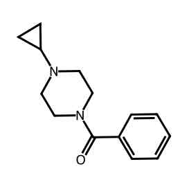 O=C(c1ccccc1)N1CCN(C2CC2)CC1